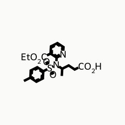 CCOC(=O)c1cccnc1N(C(C)CCC(=O)O)S(=O)(=O)c1ccc(C)cc1